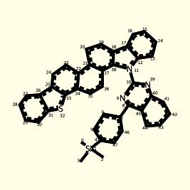 C[Si](C)(C)c1ccc(-c2nc(-n3c4ccccc4c4ccc5c6ccc7c8ccccc8sc7c6ccc5c43)nc3ccccc23)cc1